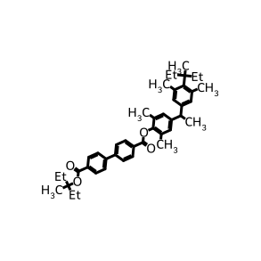 CCC(C)(CC)OC(=O)c1ccc(-c2ccc(C(=O)Oc3c(C)cc(C(C)c4cc(C)c(C(C)(CC)CC)c(C)c4)cc3C)cc2)cc1